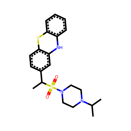 CC(C)N1CCN(S(=O)(=O)C(C)c2ccc3c(c2)Nc2ccccc2S3)CC1